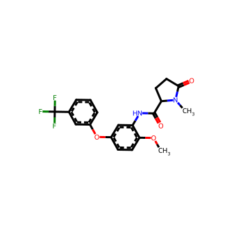 COc1ccc(Oc2cccc(C(F)(F)F)c2)cc1NC(=O)C1CCC(=O)N1C